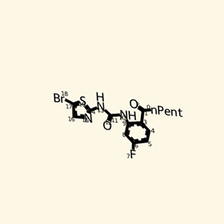 CCCCCC(=O)c1ccc(F)cc1NC(=O)Nc1ncc(Br)s1